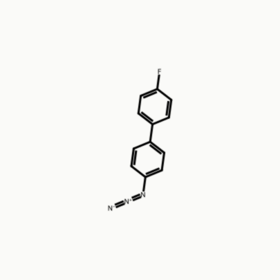 [N-]=[N+]=Nc1ccc(-c2ccc(F)cc2)cc1